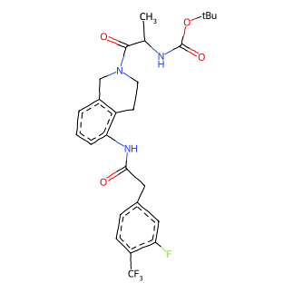 CC(NC(=O)OC(C)(C)C)C(=O)N1CCc2c(cccc2NC(=O)Cc2ccc(C(F)(F)F)c(F)c2)C1